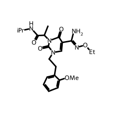 CCO/N=C(\N)c1cn(CCc2ccccc2OC)c(=O)n(C(C)C(=O)NC(C)C)c1=O